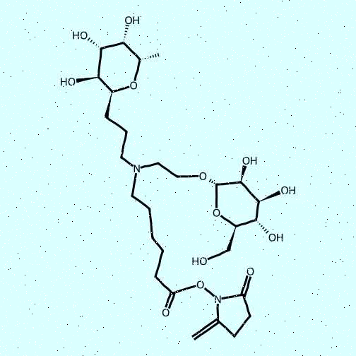 C=C1CCC(=O)N1OC(=O)CCCCCN(CCC[C@@H]1O[C@@H](C)[C@@H](O)[C@@H](O)[C@@H]1O)CCO[C@H]1O[C@H](CO)[C@@H](O)[C@H](O)[C@@H]1O